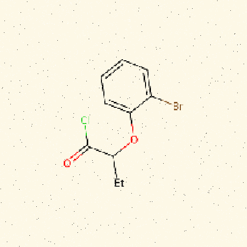 CCC(Oc1ccccc1Br)C(=O)Cl